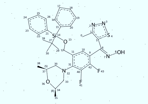 Cc1nnsc1C(=NO)c1cc(CO[Si](c2ccccc2)(c2ccccc2)C(C)(C)C)c(N2C[C@@H](C)O[C@@H](C)C2)c(F)c1F